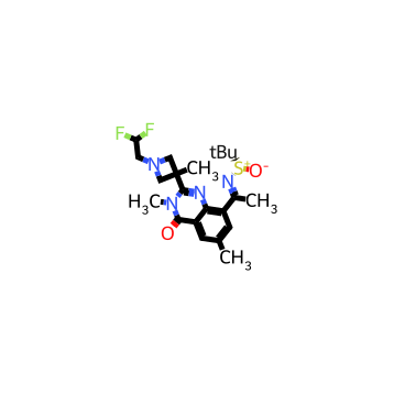 CC(=N[S@+]([O-])C(C)(C)C)c1cc(C)cc2c(=O)n(C)c(C3(C)CN(CC(F)F)C3)nc12